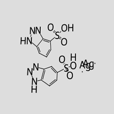 O=S(=O)(O)c1ccc2[nH]nnc2c1.O=S(=O)(O)c1cccc2[nH]nnc12.[Ag].[Ag]